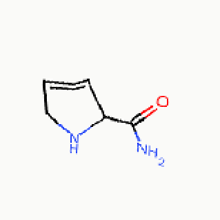 NC(=O)C1C=CCN1